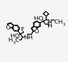 CCNC(C1CCC1)C(O)(CF)c1ccc2cc(CCNC(CC)C(O)(CF)c3ccc4ccoc4c3)oc2c1